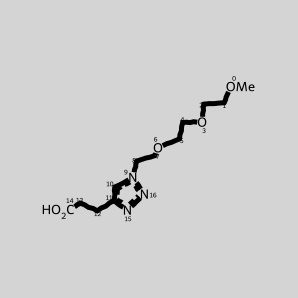 COCCOCCOCCn1cc(CCC(=O)O)nn1